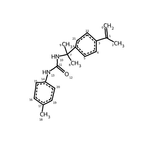 C=C(C)c1ccc(C(C)(C)NC(=O)Nc2ccc(C)cc2)cc1